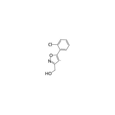 OCc1[c]c(-c2ccccc2Cl)on1